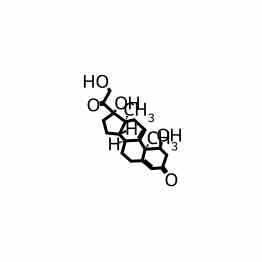 C[C@@]12C(=CC(=O)CC1O)CC[C@@H]1C2=CC[C@@]2(C)[C@H]1CC[C@]2(O)C(=O)CO